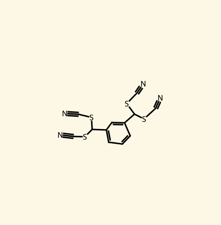 N#CSC(SC#N)c1cccc(C(SC#N)SC#N)c1